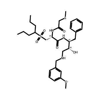 CCCC(CCC)S(=O)(=O)C[C@H](NC(=O)CSC)C(=O)N[C@@H](Cc1ccccc1)[C@H](O)CNCc1cccc(OC)c1